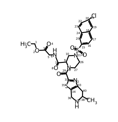 CCOC(=O)CNC(=O)C1CN(S(=O)(=O)c2ccc3cc(Cl)ccc3c2)CCN1C(=O)c1nc2c(s1)CNC(C)C2